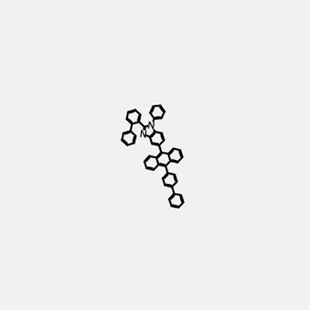 c1ccc(-c2ccc(-c3c4ccccc4c(-c4ccc5c(c4)nc(-c4ccccc4-c4ccccc4)n5-c4ccccc4)c4ccccc34)cc2)cc1